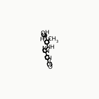 Cc1cc(Nc2nccc(-c3ccc(N4CCOCC4)nc3)n2)ccc1N1C[C@@H]2C[C@H]1CO2